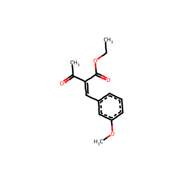 CCOC(=O)C(=Cc1cccc(OC)c1)C(C)=O